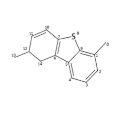 Cc1cccc2c3c(sc12)C=CC(C)C3